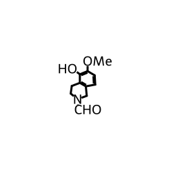 COc1ccc2c(c1O)CCN(C=O)C2